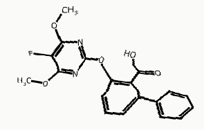 COc1nc(Oc2cccc(-c3ccccc3)c2C(=O)O)nc(OC)c1F